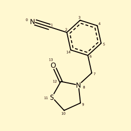 N#Cc1cccc(CN2CCSC2=O)c1